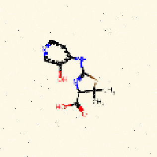 CC1(C)SC(Nc2ccncc2O)=N[C@@H]1C(=O)O